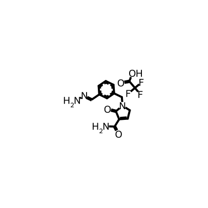 NN=Cc1cccc(CN2CC=C(C(N)=O)C2=O)c1.O=C(O)C(F)(F)F